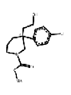 CC(C)(C)OC(=O)N1CCC[C@](CCO)(c2ccc(Cl)cc2)C1